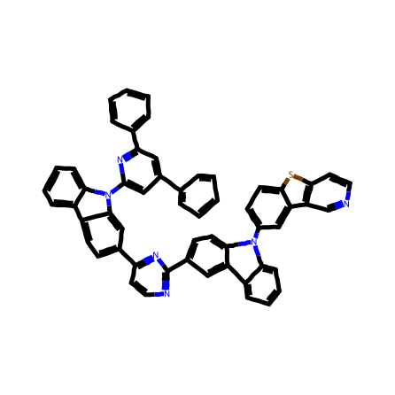 c1ccc(-c2cc(-c3ccccc3)nc(-n3c4ccccc4c4ccc(-c5ccnc(-c6ccc7c(c6)c6ccccc6n7-c6ccc7sc8ccncc8c7c6)n5)cc43)c2)cc1